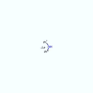 CC(C)NC(C)C.[La]